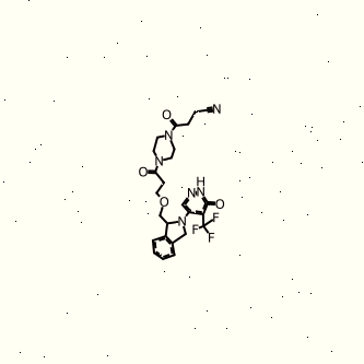 N#CCCC(=O)N1CCN(C(=O)CCOCC2c3ccccc3CN2c2cn[nH]c(=O)c2C(F)(F)F)CC1